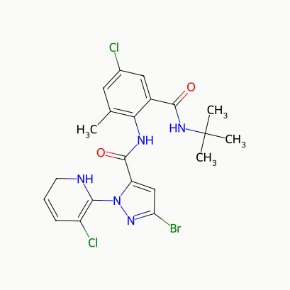 Cc1cc(Cl)cc(C(=O)NC(C)(C)C)c1NC(=O)c1cc(Br)nn1C1=C(Cl)C=CCN1